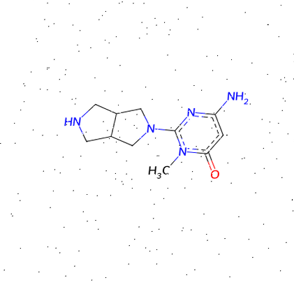 Cn1c(N2CC3CNCC3C2)nc(N)[c]c1=O